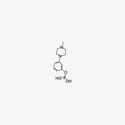 CN1CCN(c2cccc(OB(O)O)c2)CC1